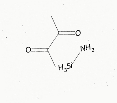 CC(=O)C(C)=O.N[SiH3]